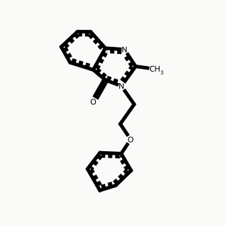 Cc1nc2ccccc2c(=O)n1CCOc1cc[c]cc1